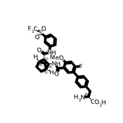 COc1cc(F)c(-c2ccc(C[C@@H](N)C(=O)O)cc2)cc1C(=O)N[C@@H]1[C@H]2CC[C@H](C2)[C@@H]1C(=O)Nc1cccc(S(=O)(=O)C(F)(F)F)c1